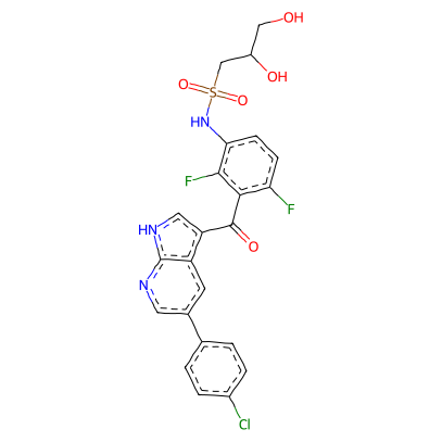 O=C(c1c(F)ccc(NS(=O)(=O)CC(O)CO)c1F)c1c[nH]c2ncc(-c3ccc(Cl)cc3)cc12